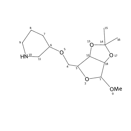 COC1OC(COC2CCCNC2)C2OC(C)(C)OC12